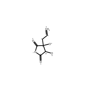 C=CCC1(Cl)C(=O)OC(=O)C1Cl